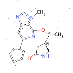 C[C@@H](Oc1nc(-c2ccccc2)cc2ncn(C)c12)[C@H]1CNC(=O)C1